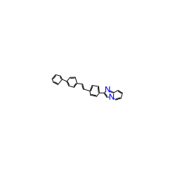 C(=C\c1ccc(-c2cn3ccccc3n2)cc1)/c1ccc(-c2ccccc2)cc1